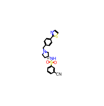 N#Cc1cccc(S(=O)(=O)N[C@@H]2CCN(Cc3ccc(-c4nccs4)cc3)C2)c1